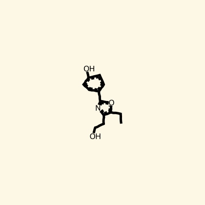 CCc1oc(-c2ccc(O)cc2)nc1CCO